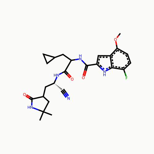 COc1ccc(F)c2[nH]c(C(=O)NC(CC3CC3)C(=O)N[C@H](C#N)CC3CC(C)(C)NC3=O)cc12